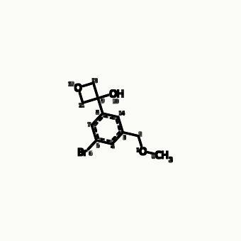 COCc1cc(Br)cc(C2(O)COC2)c1